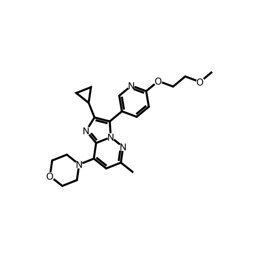 COCCOc1ccc(-c2c(C3CC3)nc3c(N4CCOCC4)cc(C)nn23)cn1